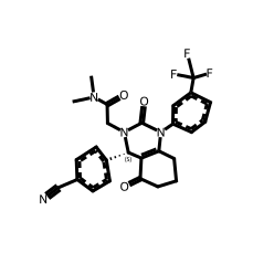 CN(C)C(=O)CN1C(=O)N(c2cccc(C(F)(F)F)c2)C2=C(C(=O)CCC2)[C@@H]1c1ccc(C#N)cc1